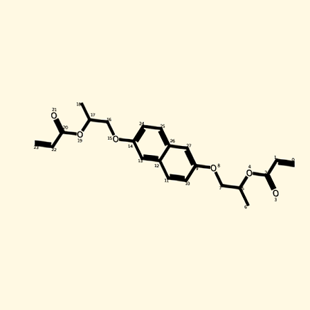 C=CC(=O)OC(C)COc1ccc2cc(OCC(C)OC(=O)C=C)ccc2c1